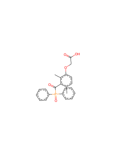 Cc1ccc(OCC(=O)O)c(C)c1C(=O)P(=O)(c1ccccc1)c1ccccc1